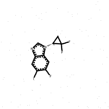 Fc1cc2c(cc1I)ncn2[C@@H]1CC1(F)F